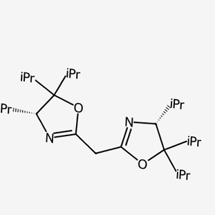 CC(C)[C@H]1N=C(CC2=N[C@H](C(C)C)C(C(C)C)(C(C)C)O2)OC1(C(C)C)C(C)C